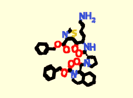 NCCCCC(NC(=O)[C@@H]1CCCN1C(=O)[C@H]1C2CCCCC2CCN1C(=O)OCc1ccccc1)C(=O)c1s[c]nc1C(=O)OCc1ccccc1